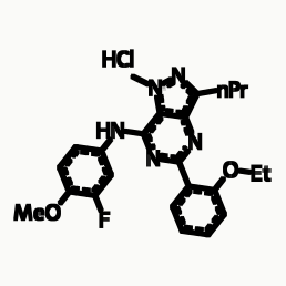 CCCc1nn(C)c2c(Nc3ccc(OC)c(F)c3)nc(-c3ccccc3OCC)nc12.Cl